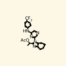 CC(=O)OC(C)c1nc2ccccc2n1-c1cncc(Nc2ccc(C(F)(F)F)cc2)n1